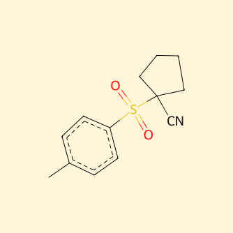 Cc1ccc(S(=O)(=O)C2(C#N)CCCC2)cc1